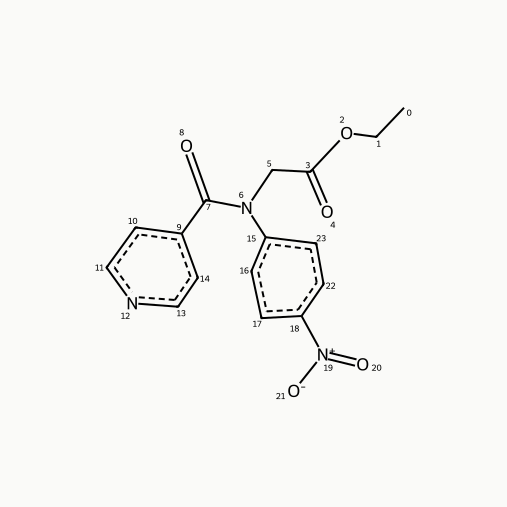 CCOC(=O)CN(C(=O)c1ccncc1)c1ccc([N+](=O)[O-])cc1